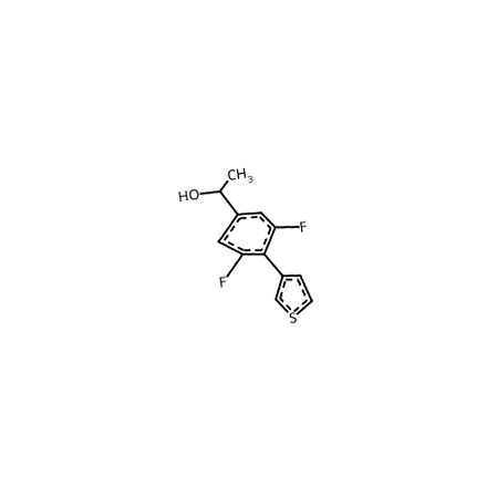 CC(O)c1cc(F)c(-c2ccsc2)c(F)c1